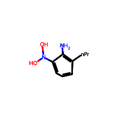 CCCc1cccc(N(O)O)c1N